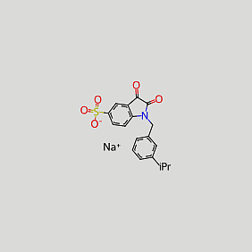 CC(C)c1cccc(CN2C(=O)C(=O)c3cc(S(=O)(=O)[O-])ccc32)c1.[Na+]